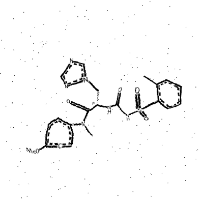 COc1ccc(N(C)C(=O)[C@H](Cn2cncn2)NC(=O)NS(=O)(=O)c2ccccc2C)cc1